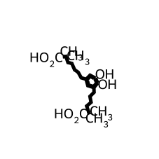 CC(C)(CCCCCc1cc(O)c(O)c(CCCCC(C)(C)C(=O)O)c1)C(=O)O